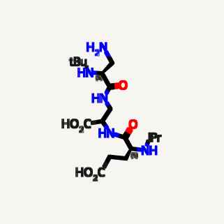 CC(C)N[C@@H](CCC(=O)O)C(=O)NC(CNC(=O)[C@H](CN)NC(C)(C)C)C(=O)O